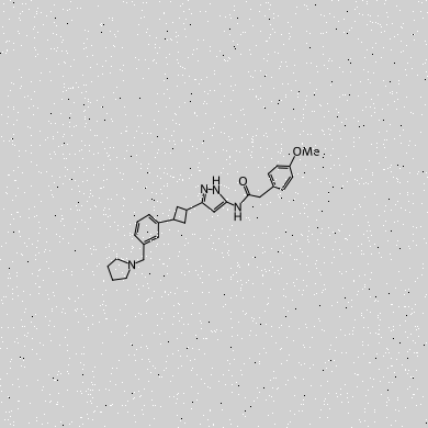 COc1ccc(CC(=O)Nc2cc(C3CC(c4cccc(CN5CCCC5)c4)C3)n[nH]2)cc1